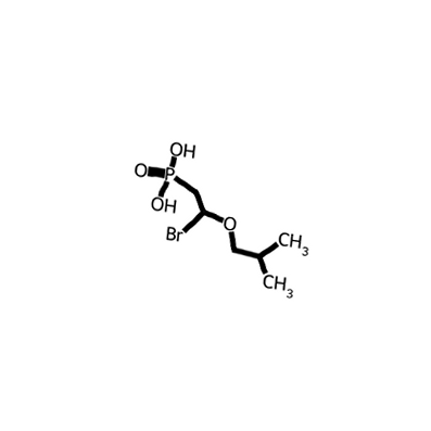 CC(C)COC(Br)CP(=O)(O)O